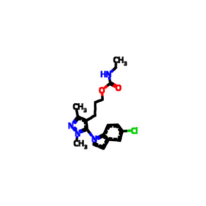 CCNC(=O)OCCCc1c(C)nn(C)c1-n1ccc2cc(Cl)ccc21